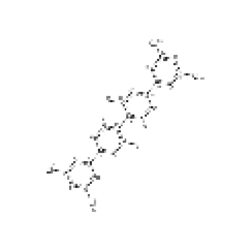 Cc1cc(-c2cc(Cl)cc(Cl)c2)cnc1-c1ncc(-c2cc(Cl)cc(Cl)c2)cc1C